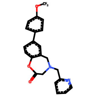 O=C1CN(Cc2ccccn2)Cc2cc(-c3ccc(OC(F)(F)F)cc3)ccc2O1